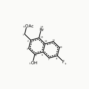 CC(=O)OCc1cc(O)c2cc(F)ccc2c1Br